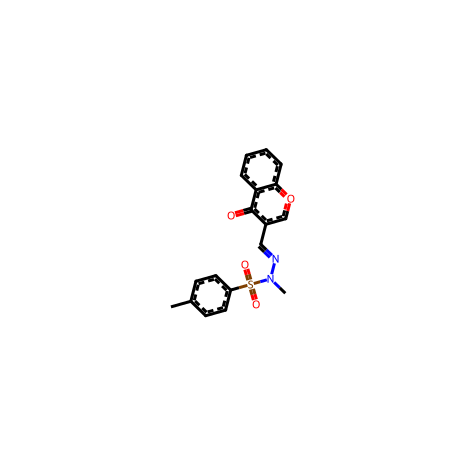 Cc1ccc(S(=O)(=O)N(C)/N=C/c2coc3ccccc3c2=O)cc1